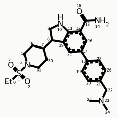 CCS(=O)(=O)N1CCC(C2CNc3c(C(N)=O)cc(-c4ccc(CN(C)C)cc4)cc32)CC1